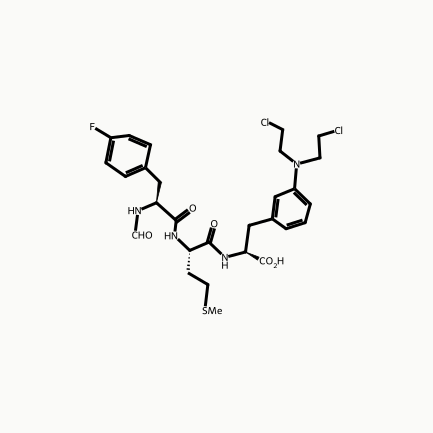 CSCC[C@H](NC(=O)[C@H](Cc1ccc(F)cc1)NC=O)C(=O)N[C@@H](Cc1cccc(N(CCCl)CCCl)c1)C(=O)O